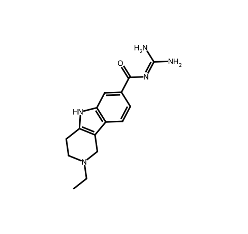 CCN1CCc2[nH]c3cc(C(=O)N=C(N)N)ccc3c2C1